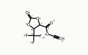 C#COC(=O)C1OC(=O)OC1C(F)(F)F